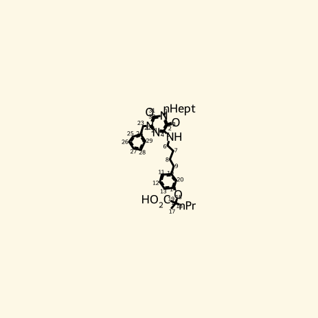 CCCCCCCn1c(=O)c(NCCCCc2cccc(OC(C)(CCC)C(=O)O)c2)nn(Cc2ccccc2)c1=O